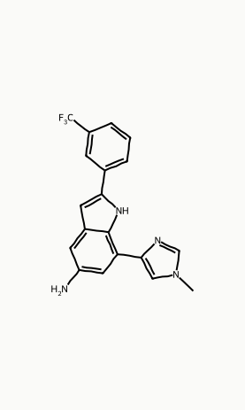 Cn1cnc(-c2cc(N)cc3cc(-c4cccc(C(F)(F)F)c4)[nH]c23)c1